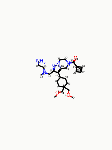 COCC1(COC)CCC(c2c(CN(C)CCN)nn3c2CN(C(=O)C24CC(C2)C4)CC3)CC1